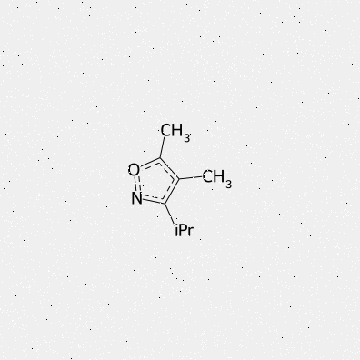 Cc1onc(C(C)C)c1C